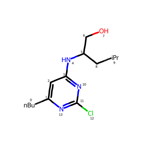 CCCCc1cc(NC(CO)CC(C)C)nc(Cl)n1